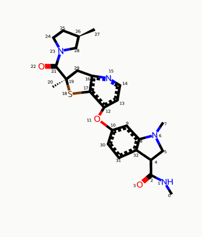 CNC(=O)C1CN(C)c2cc(Oc3ccnc4c3S[C@@](C)(C(=O)N3CC[C@@H](C)C3)C4)ccc21